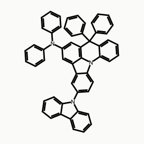 c1ccc(N(c2ccccc2)c2cc3c4c(c2)c2cc(-n5c6ccccc6c6ccccc65)ccc2n4-c2ccccc2C3(c2ccccc2)c2ccccc2)cc1